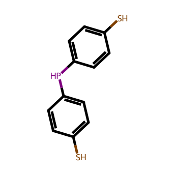 Sc1ccc(Pc2ccc(S)cc2)cc1